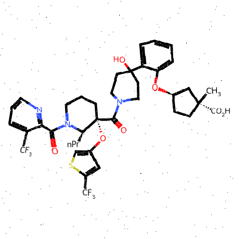 CCC[C@H]1N(C(=O)c2ncccc2C(F)(F)F)CCC[C@@]1(Oc1csc(C(F)(F)F)c1)C(=O)N1CCC(O)(c2ccccc2O[C@@H]2CC[C@@](C)(C(=O)O)C2)CC1